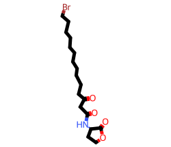 O=C(CCCCCCCCCCCBr)CC(=O)N[C@H]1CCOC1=O